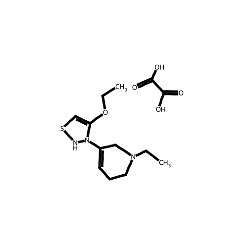 CCOC1=CSNN1C1=CCCN(CC)C1.O=C(O)C(=O)O